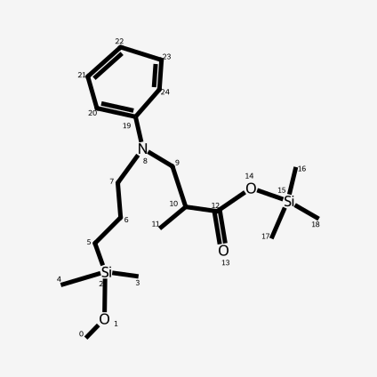 CO[Si](C)(C)CCCN(CC(C)C(=O)O[Si](C)(C)C)c1ccccc1